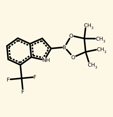 CC1(C)OB(c2cc3cccc(C(F)(F)F)c3[nH]2)OC1(C)C